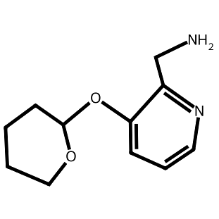 NCc1ncccc1OC1CCCCO1